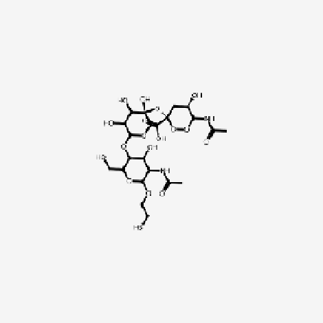 CC(=O)NC1C(OCCS)OC(CO)C(OC2OC[C@@](O)(O[C@]3(C(=O)O)C[C@@H](O)C(NC(C)=O)OO3)C(O)C2O)C1O